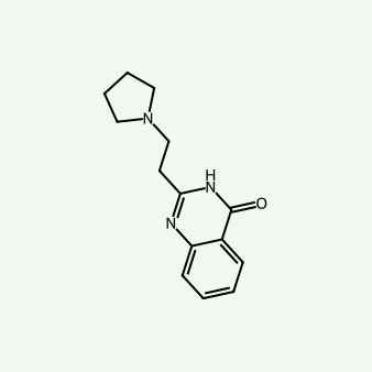 O=c1[nH]c(CCN2CCCC2)nc2ccccc12